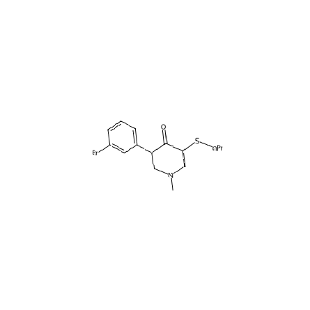 CCCSC1CN(C)CC(c2cccc(Br)c2)C1=O